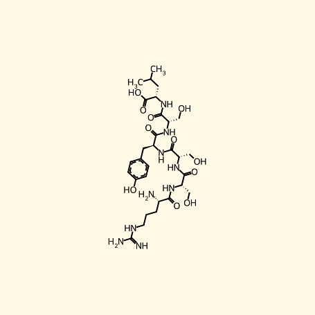 CC(C)C[C@H](NC(=O)[C@H](CO)NC(=O)[C@H](Cc1ccc(O)cc1)NC(=O)[C@H](CO)NC(=O)[C@H](CO)NC(=O)[C@@H](N)CCCNC(=N)N)C(=O)O